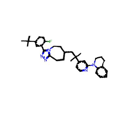 CC(C)(C)c1ccc(F)c(-c2nnc3n2CCC(CC(C)(C)c2ccnc(N4CCCc5ccccc54)c2)CC3)c1